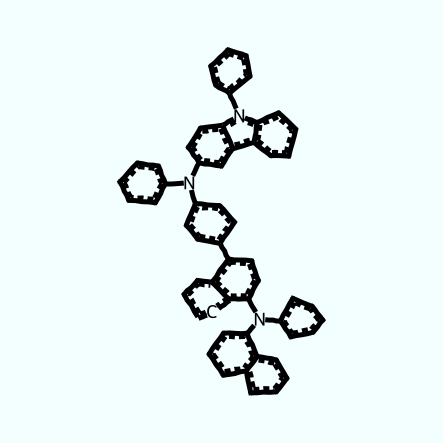 c1ccc(N(c2ccc(-c3ccc(N(c4ccccc4)c4cccc5ccccc45)c4ccccc34)cc2)c2ccc3c(c2)c2ccccc2n3-c2ccccc2)cc1